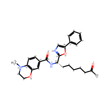 CCC(=O)CCCCC[C@H](NC(=O)c1ccc2c(c1)OCCN2C)c1ncc(-c2ccccc2)o1